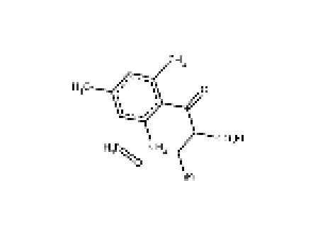 CCOC(=O)C(CC(C)C)C(=O)c1c(C)cc(C)cc1C.O=[PH3]